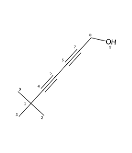 CC(C)(C)C#CC#CCO